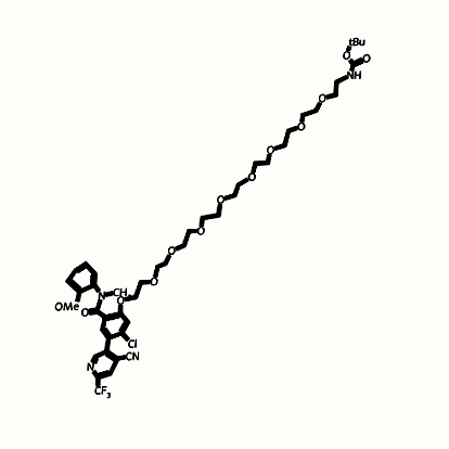 COc1ccccc1N(C)C(=O)c1cc(-c2cnc(C(F)(F)F)cc2C#N)c(Cl)cc1OCCOCCOCCOCCOCCOCCOCCOCCOCCNC(=O)OC(C)(C)C